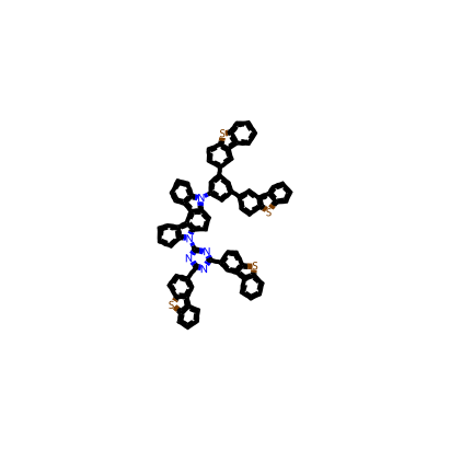 c1ccc2c(c1)sc1ccc(-c3cc(-c4ccc5sc6ccccc6c5c4)cc(-n4c5ccccc5c5c6c7ccccc7n(-c7nc(-c8ccc9sc%10ccccc%10c9c8)nc(-c8ccc9sc%10ccccc%10c9c8)n7)c6ccc54)c3)cc12